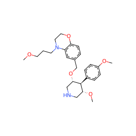 COCCCN1CCOc2ccc(CO[C@H]3CNC[C@@H](OC)[C@@H]3c3ccc(OC)cc3)cc21